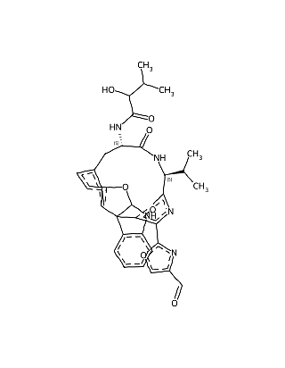 CC(C)C(O)C(=O)N[C@H]1Cc2ccc3c(c2)C2(c4ccccc4NC2O3)c2oc(nc2-c2nc(C=O)co2)[C@H](C(C)C)NC1=O